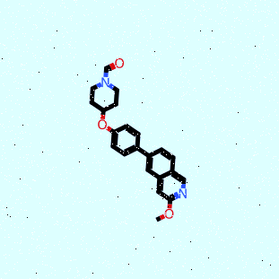 COc1cc2cc(-c3ccc(OC4CCN(C=O)CC4)cc3)ccc2cn1